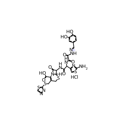 Cl.Nc1nc(C(NC(=O)C(=O)N/N=C/c2ccc(O)c(O)c2)C(=O)NC2C(=O)N3C(C(=O)O)=C(CSc4nncs4)CS[C@H]23)cs1